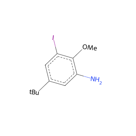 COc1c(N)cc(C(C)(C)C)cc1I